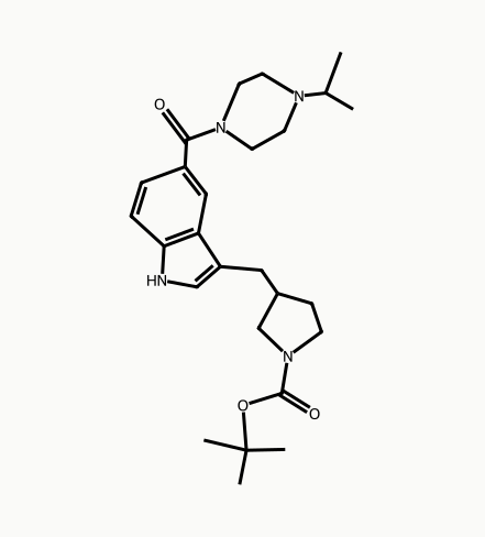 CC(C)N1CCN(C(=O)c2ccc3[nH]cc(CC4CCN(C(=O)OC(C)(C)C)C4)c3c2)CC1